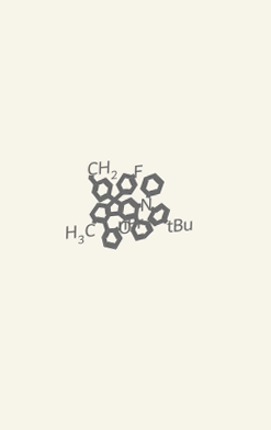 C=Cc1ccc(C2(C3=CC=C(F)CC3)C3=C(C(c4ccccc4CCC)=C(C)CC3)c3c2cc(N(c2ccccc2)c2ccc(C(C)(C)C)cc2)c2c3OC3C=CC=CC23)cc1